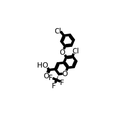 O=C(O)C1=Cc2c(ccc(Cl)c2Oc2cccc(Cl)c2)O[C@@H]1C(F)(F)F